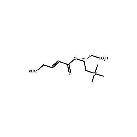 CCCCCCCCCCCC=CC(=O)O[C@H](CC(=O)O)C[N+](C)(C)C